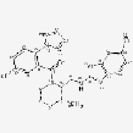 C[C@@H]1CCCN(C(=O)c2cc(F)ccc2-n2nccn2)[C@@H]1CNc1nc2ccc(Cl)cc2o1